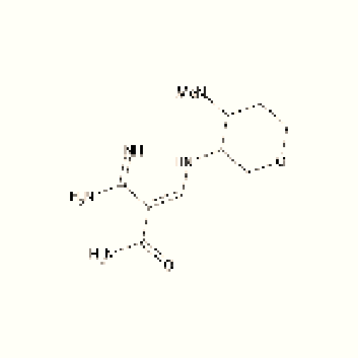 CNC1CCOCC1N/C=C(\C(=N)N)C(N)=O